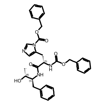 [CH2][C@@H](O)[C@H](Cc1ccccc1)NC(=O)[C@H](Cc1cncn1C(=O)OCc1ccccc1)NC(=O)OCc1ccccc1